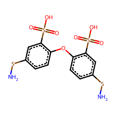 NSc1ccc(Oc2ccc(SN)cc2S(=O)(=O)O)c(S(=O)(=O)O)c1